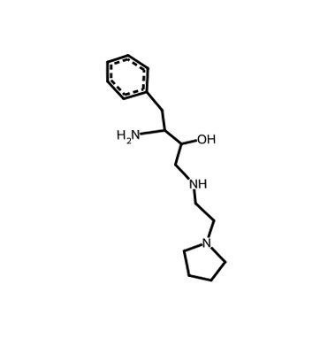 NC(Cc1ccccc1)C(O)CNCCN1CCCC1